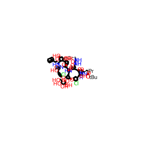 CCCCCCCCNC(=O)NC(=O)C[C@@H]1CC(=O)[C@H](NC(=O)[C@@H](CC(C)C)NC(=O)OC(C)(C)C)[C@H](O)c2ccc(c(Cl)c2)Oc2cc3cc(c2OC2OC(CO)C(O)C(O)C2O)Oc2ccc(cc2Cl)[C@@H](O)[C@@H]2NC(=O)[C@H](CC(=O)[C@@H]3NC1=O)c1ccc(O)c(c1)-c1c(O)cc(O)cc1[C@@H](C(=O)CC1C3CC4CC(C3)CC1C4)NC2=O